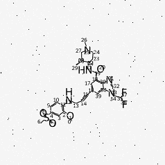 COc1cc(S(C)(=O)=O)ccc1NCC#Cc1cc(C(=O)N[C@H]2CCN(C)C[C@@H]2C)c2ncn(CC(F)F)c2c1